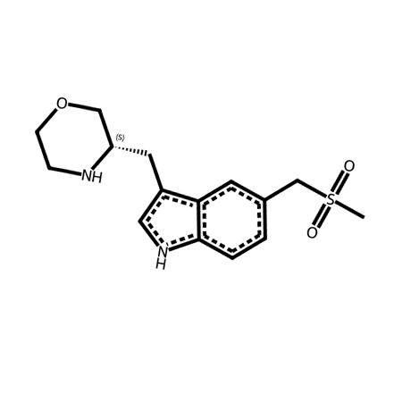 CS(=O)(=O)Cc1ccc2[nH]cc(C[C@H]3COCCN3)c2c1